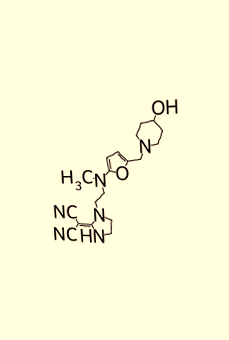 CN(CCN1CCNC1=C(C#N)C#N)c1ccc(CN2CCC(O)CC2)o1